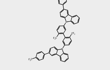 FC(F)(F)c1ccc(-c2ccc3c(c2)c2ccccc2n3-c2ccc(C(F)(F)F)c(-c3cc(-n4c5ccccc5c5cc(-c6ccccc6)ccc54)ccc3C(F)(F)F)c2)cc1